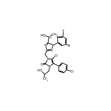 C[C@H](O)c1nc(Cn2c(Cl)c(-c3ccc(Cl)cc3)n(CC(O)C(F)(F)F)c2=O)nn1-c1cc(F)cc(F)c1